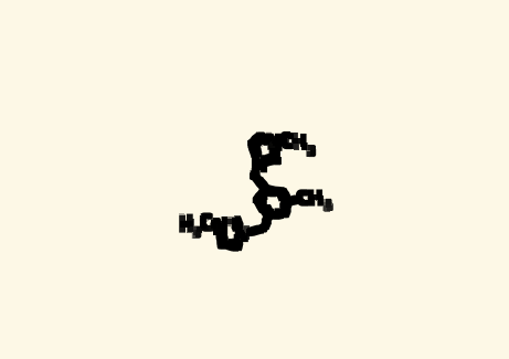 Cc1cc(Cn2cc[n+](C)c2)cc(Cn2cc[n+](C)c2)c1